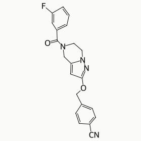 N#Cc1ccc(COc2cc3n(n2)CCN(C(=O)c2cccc(F)c2)C3)cc1